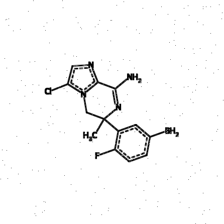 Bc1ccc(F)c(C2(C)Cn3c(Cl)cnc3C(N)=N2)c1